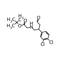 CC(C)(C)OC(=O)CNCC(CC=O)c1ccc(Cl)c(Cl)c1